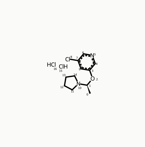 C[C@H](Oc1cncc(Cl)c1)N1CCCC1.Cl.Cl